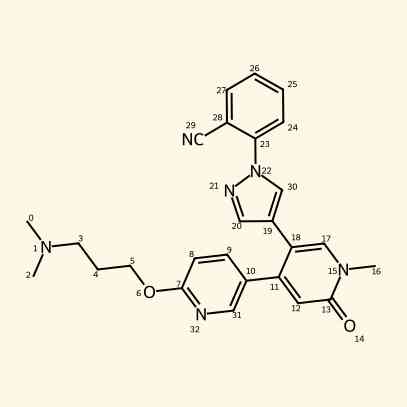 CN(C)CCCOc1ccc(-c2cc(=O)n(C)cc2-c2cnn(-c3ccccc3C#N)c2)cn1